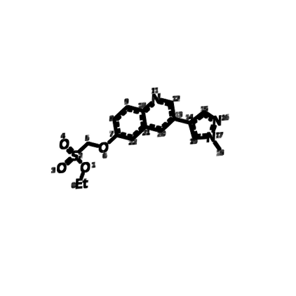 CCOS(=O)(=O)COc1ccc2ncc(-c3cnn(C)c3)cc2c1